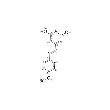 CCC(C)Oc1ccc(/C=C/c2cc(O)cc(O)c2)cc1